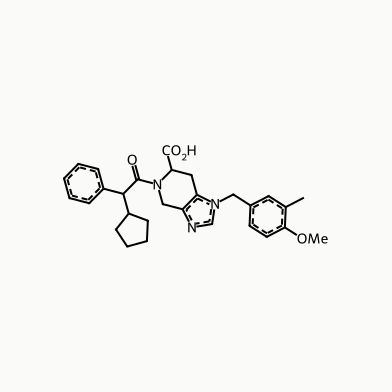 COc1ccc(Cn2cnc3c2CC(C(=O)O)N(C(=O)C(c2ccccc2)C2CCCC2)C3)cc1C